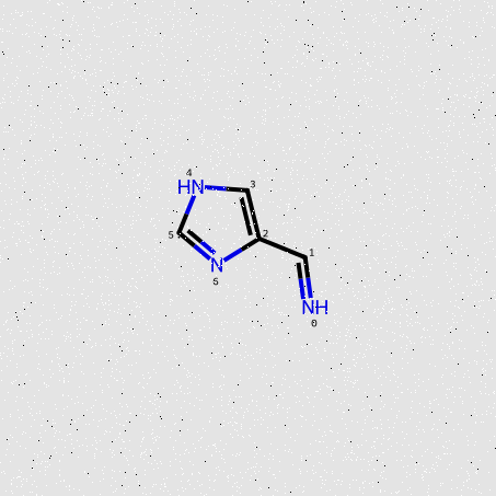 N=Cc1c[nH][c]n1